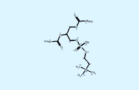 CCCCCCCC(=O)OC(COC(=O)CCCCC)COP(=O)(O)OCC[N+](C)(C)C